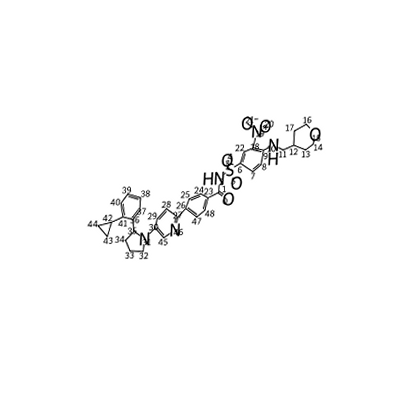 O=C(NS(=O)(=O)c1ccc(NCC2CCOCC2)c([N+](=O)[O-])c1)c1ccc(-c2ccc(N3CCCC3c3ccccc3C3CC3)cn2)cc1